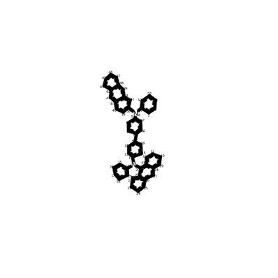 c1ccc(N(c2ccc(-c3ccc(N(c4ccccc4)c4c5ccccc5cc5ccccc45)cc3)cc2)c2ccc3cc4ccccc4cc3c2)cc1